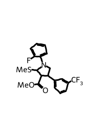 COC(=O)C1C(c2cccc(C(F)(F)F)c2)CN(c2ccccc2F)C1SC